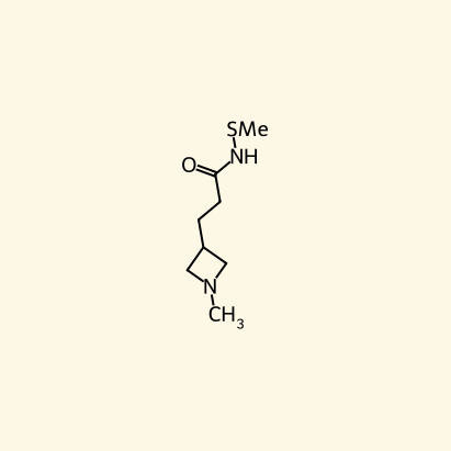 CSNC(=O)CCC1CN(C)C1